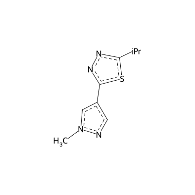 CC(C)c1nnc(-c2cnn(C)c2)s1